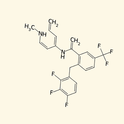 C=C/C=C(\C=C/NC)NC(=C)c1cc(C(F)(F)F)ccc1Cc1ccc(F)c(F)c1F